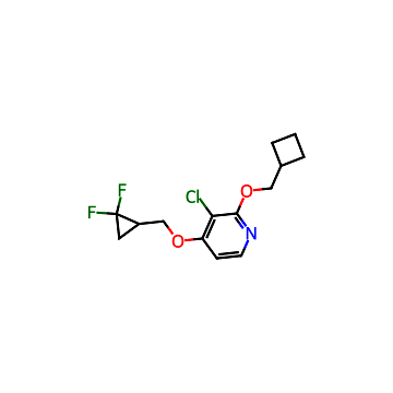 FC1(F)CC1COc1ccnc(OCC2CCC2)c1Cl